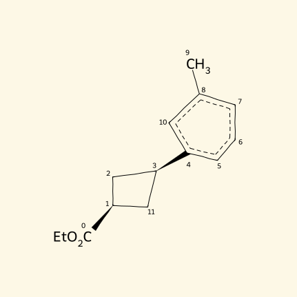 CCOC(=O)[C@H]1C[C@@H](c2cccc(C)c2)C1